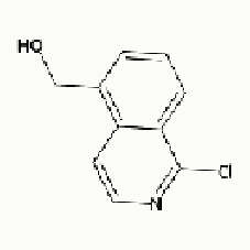 OCc1cccc2c(Cl)nccc12